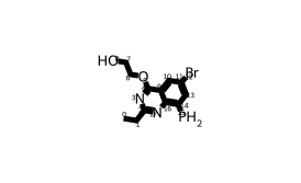 CCc1nc(OCCO)c2cc(Br)cc(P)c2n1